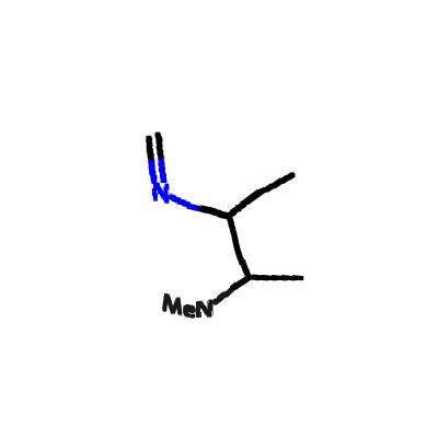 C=NC(C)C(C)NC